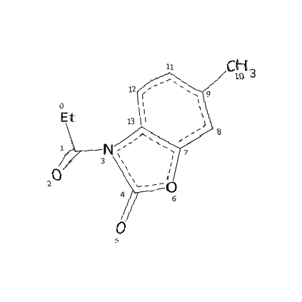 [CH2]CC(=O)n1c(=O)oc2cc(C)ccc21